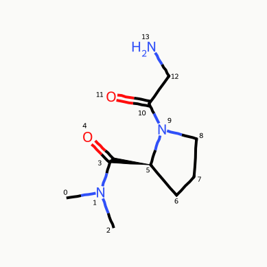 CN(C)C(=O)[C@@H]1CCCN1C(=O)CN